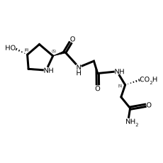 NC(=O)C[C@H](NC(=O)CNC(=O)[C@@H]1C[C@@H](O)CN1)C(=O)O